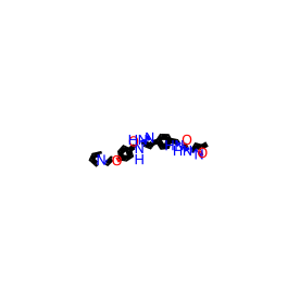 Cc1cc(NC(=O)NCc2ccc(-c3cc(NC(=O)c4ccc(OCCN5CCCC5)cc4)[nH]n3)cc2)no1